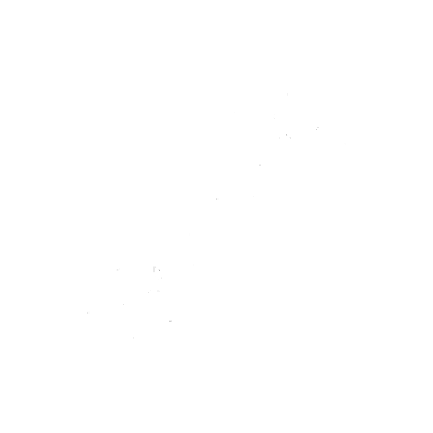 O=C1CCC(=O)N1OCCCCCCNC(=O)C(F)(F)F